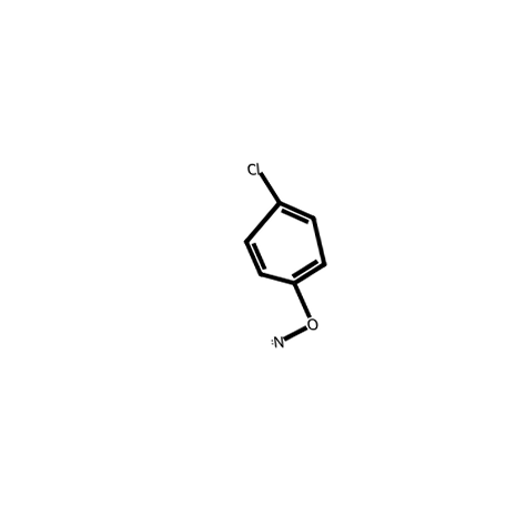 [N]Oc1ccc(Cl)cc1